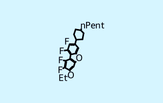 CCCCCC1CCC(c2cc3oc4cc(OCC)c(F)c(F)c4c3c(F)c2F)CC1